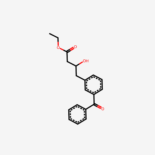 CCOC(=O)CC(O)Cc1cccc(C(=O)c2ccccc2)c1